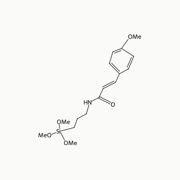 COc1ccc(C=CC(=O)NCCC[Si](OC)(OC)OC)cc1